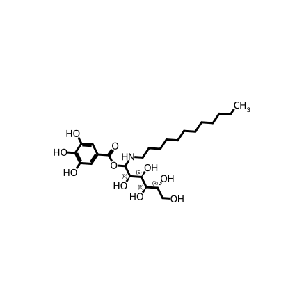 CCCCCCCCCCCCNC(OC(=O)c1cc(O)c(O)c(O)c1)[C@H](O)[C@@H](O)[C@H](O)[C@H](O)CO